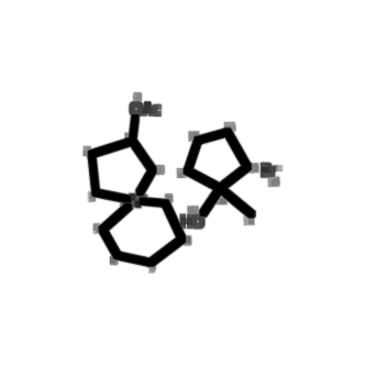 CC(=O)OC1CC[N+]2(CCCCC2)C1.CC1(O)CCCC1.[Br-]